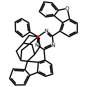 c1ccc(-c2nc(-c3cccc4c3C3(c5ccccc5-4)C4CC5CC(C4)CC3C5)nc(-c3cccc4oc5ccccc5c34)n2)cc1